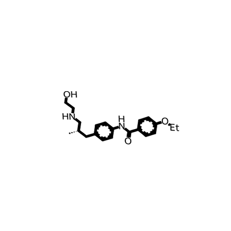 CCOc1ccc(C(=O)Nc2ccc(C[C@H](C)CNCCO)cc2)cc1